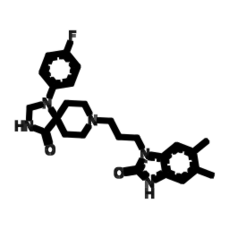 Cc1cc2[nH]c(=O)n(CCCN3CCC4(CC3)C(=O)NCN4c3ccc(F)cc3)c2cc1C